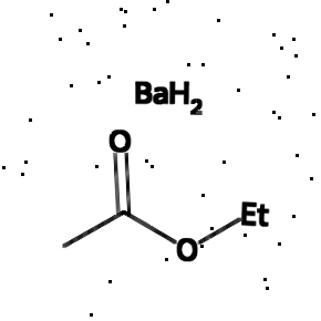 CCOC(C)=O.[BaH2]